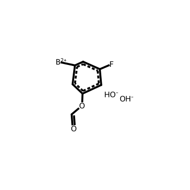 [B+2]c1cc(F)cc(OC=O)c1.[OH-].[OH-]